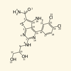 NC(=O)c1sc2nc(NCC(O)CO)nc(-c3ccc(Cl)c(Cl)c3)c2c1N